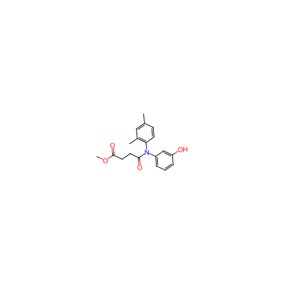 COC(=O)CCC(=O)N(c1cccc(O)c1)c1ccc(C)cc1C